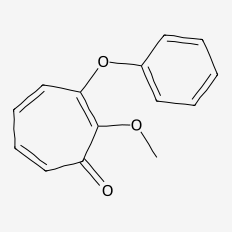 COc1c(Oc2ccccc2)ccccc1=O